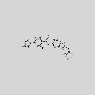 C[C@H]1CCCN1Cc1cc2cnc(NC(=O)c3ncc(-c4cn[nH]c4)cc3F)cc2[nH]1